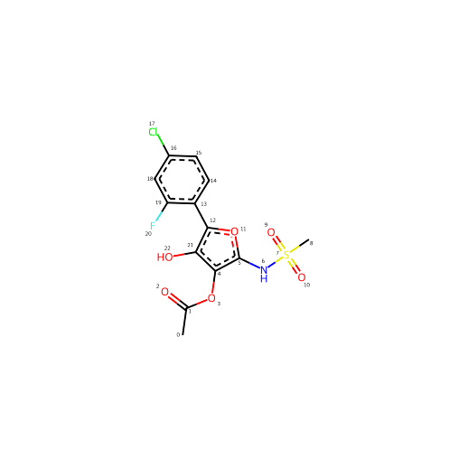 CC(=O)Oc1c(NS(C)(=O)=O)oc(-c2ccc(Cl)cc2F)c1O